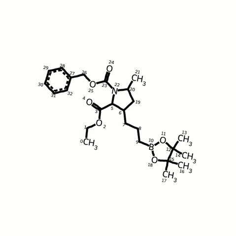 CCOC(=O)C1C(CCCB2OC(C)(C)C(C)(C)O2)CC(C)N1C(=O)OCc1ccccc1